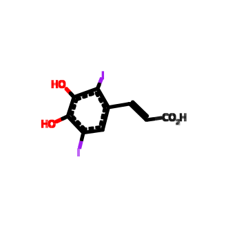 O=C(O)/C=C/c1cc(I)c(O)c(O)c1I